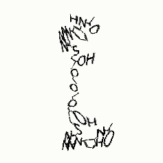 CC(=O)Nc1cccc(-n2nnnc2SCC(O)COCCOCCOCC(O)CSc2nnnn2-c2cccc(NC(C)=O)c2)c1